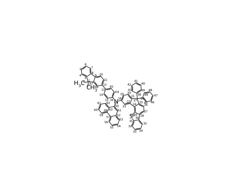 CC1(C)c2ccccc2-c2ccc(-c3ccc(N(c4ccc5c(c4)-c4c(ccc6c4sc4ccccc46)C5(c4ccccc4)c4ccccc4)c4cc5ccccc5c5ccccc45)cc3)cc21